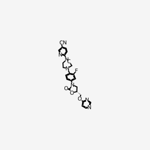 N#Cc1ccc(N2CCN(c3ccc(N4C[C@H](COc5ccncn5)OC4=O)cc3F)CC2)nc1